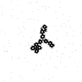 CC1(C)c2ccccc2Oc2ccc(-c3ccc(N(c4ccc(-c5ccc6c(c5)C(c5ccccc5)(c5ccccc5)c5ccccc5-6)cc4)c4ccc(-c5ccc6ccccc6c5)cc4)cc3)cc21